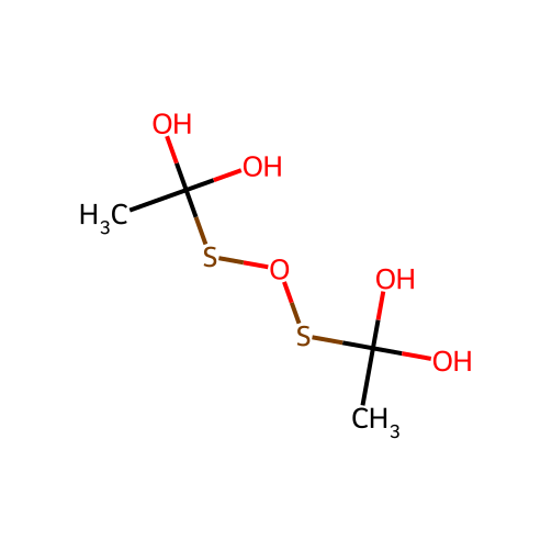 CC(O)(O)SOSC(C)(O)O